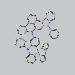 c1ccc(-c2ccccc2N(c2ccc3c4ccccc4n(-c4ccccc4)c3c2)c2ccc3c4c2c2ccccc2n4-c2ccccc2C32c3ccccc3-c3ccccc32)cc1